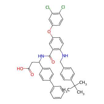 CC(C)(C)c1ccc(CNc2ccc(Oc3ccc(Cl)c(Cl)c3)cc2C(=O)NC(CC(=O)O)c2ccc(-c3ccccc3)cc2)cc1